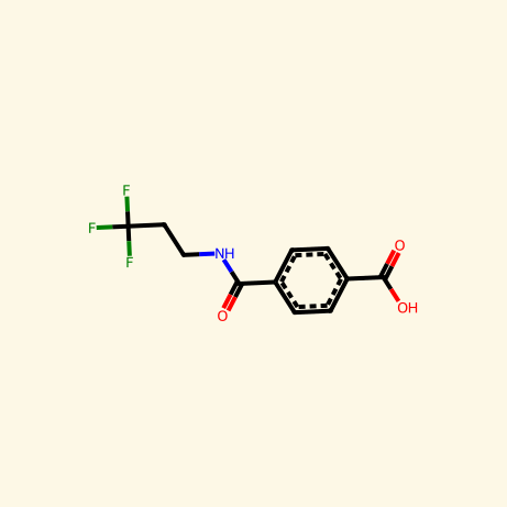 O=C(O)c1ccc(C(=O)NCCC(F)(F)F)cc1